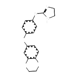 c1cc(Sc2ccc3c(c2)OCCO3)ccc1NC1=NCCN1